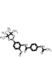 CC(=O)Nc1ccc(C(=O)Nc2cc(B3OC(C)(C)C(C)(C)O3)ccc2N=O)cc1